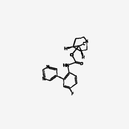 O=C(Nc1ccc(F)cc1-c1cncnc1)O[C@H]1C[N@]2CC[C@H]1CC2